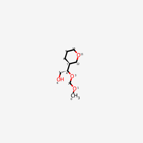 COCO[C@H](CO)[C@H]1CCCOC1